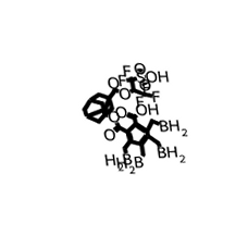 BCc1c(CB)c(CB)c(C(=O)OC23CC4CC(C2)CC(C(=O)OC(C(F)(F)F)C(F)(F)S(=O)(=O)O)(C4)C3)c(C(=O)O)c1CB